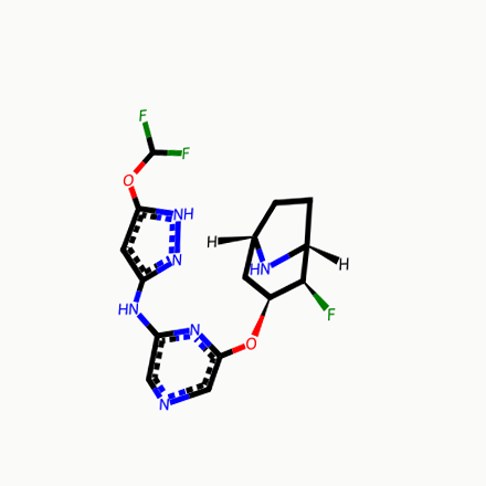 FC(F)Oc1cc(Nc2cncc(O[C@H]3C[C@@H]4CC[C@@H](N4)[C@H]3F)n2)n[nH]1